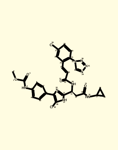 COC(=O)Nc1ccc(-c2nc([C@H](CC(=O)NC3CC3)NC(=O)/C=C/c3cc(Cl)ccc3-n3cnnn3)[nH]c2Cl)cc1